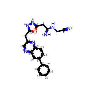 N#CCNC(=N)Cc1nnc(Cc2cnc3cc(-c4ccccc4)ccc3n2)o1